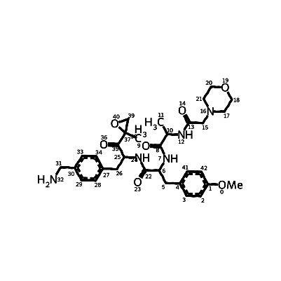 COc1ccc(CC(NC(=O)C(C)NC(=O)CN2CCOCC2)C(=O)NC(Cc2ccc(CN)cc2)C(=O)C2(C)CO2)cc1